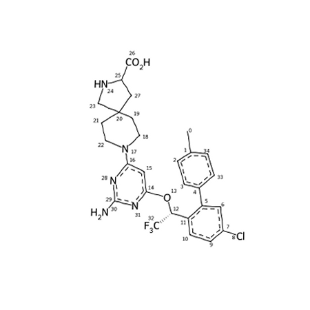 Cc1ccc(-c2cc(Cl)ccc2[C@@H](Oc2cc(N3CCC4(CC3)CNC(C(=O)O)C4)nc(N)n2)C(F)(F)F)cc1